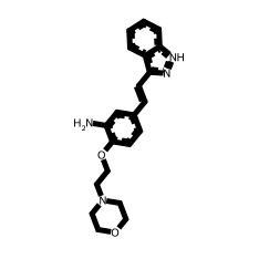 Nc1cc(/C=C/c2n[nH]c3ccccc23)ccc1OCCN1CCOCC1